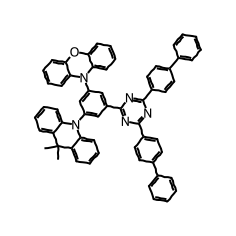 CC1(C)c2ccccc2N(c2cc(-c3nc(-c4ccc(-c5ccccc5)cc4)nc(-c4ccc(-c5ccccc5)cc4)n3)cc(N3c4ccccc4Oc4ccccc43)c2)c2ccccc21